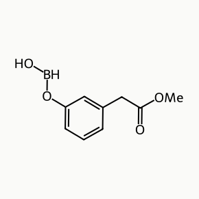 COC(=O)Cc1cccc(OBO)c1